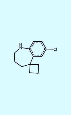 Clc1ccc2c(c1)C1(CCCN2)CCC1